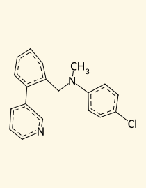 CN(Cc1ccccc1-c1cccnc1)c1ccc(Cl)cc1